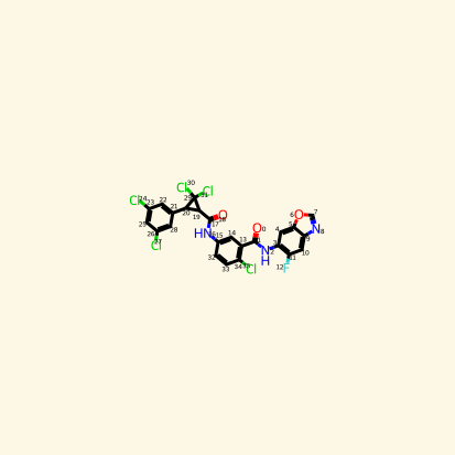 O=C(Nc1cc2ocnc2cc1F)c1cc(NC(=O)C2C(c3cc(Cl)cc(Cl)c3)C2(Cl)Cl)ccc1Cl